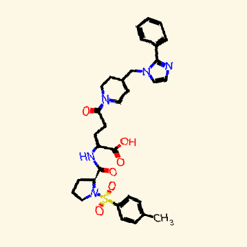 Cc1ccc(S(=O)(=O)N2CCC[C@H]2C(=O)NC(CCC(=O)N2CCC(Cn3ccnc3-c3ccccc3)CC2)C(=O)O)cc1